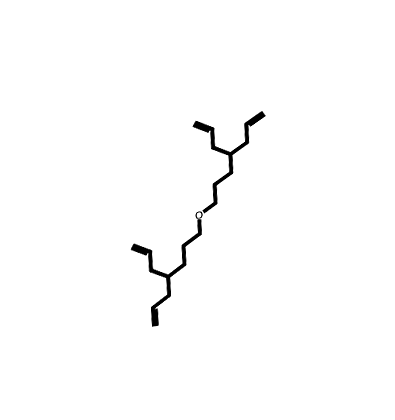 C=CCC(CC=C)CCCOCCCC(CC=C)CC=C